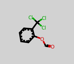 O=[C]Oc1ccccc1C(Cl)(Cl)Cl